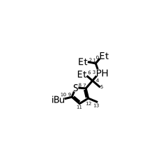 CCC(CC)PC(C)(CC)c1sc(C(C)CC)cc1C